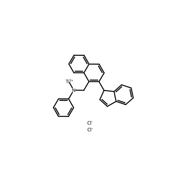 [Cl-].[Cl-].[Ti+2][N](Cc1c(C2C=Cc3ccccc32)ccc2ccccc12)c1ccccc1